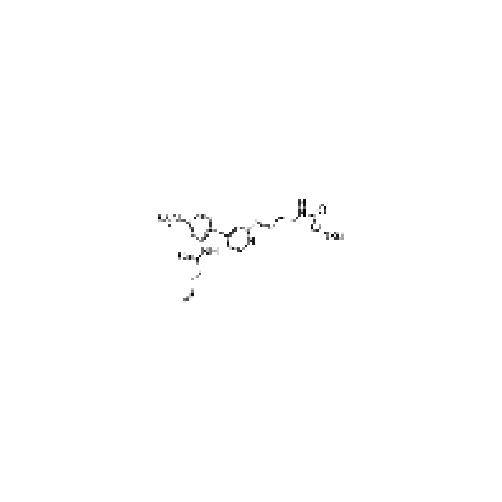 C=CCCC(=O)Nc1cc([N+](=O)[O-])ccc1-c1ccnc(C=CCCNC(=O)OC(C)(C)C)c1